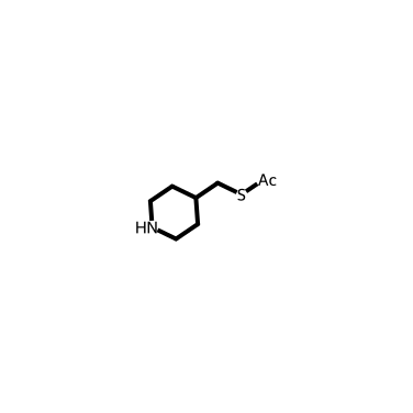 CC(=O)SCC1CCNCC1